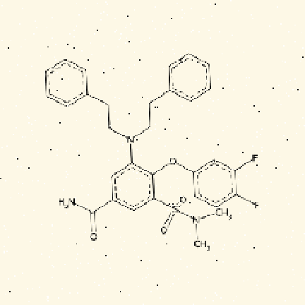 CN(C)S(=O)(=O)c1cc(C(N)=O)cc(N(CCc2ccccc2)CCc2ccccc2)c1Oc1ccc(F)c(F)c1